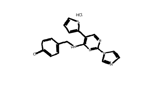 Cl.Clc1ccc(CNc2nc(-n3ccnc3)ncc2-c2cccs2)cc1